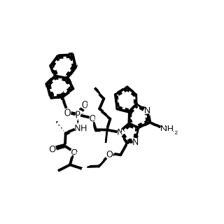 CCCCC(C)(CO[P@@](=O)(N[C@@H](C)C(=O)OC(C)C)Oc1ccc2ccccc2c1)n1c(COCC)nc2c(N)nc3ccccc3c21